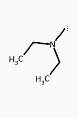 [C]N(CC)CC